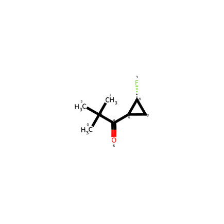 CC(C)(C)C(=O)C1C[C@H]1F